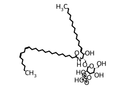 CCCCC/C=C\C/C=C\CCCCCCCCCCCCCC(=O)N[C@@H](CO[C@@H]1O[C@H](CO)[C@H](O)[C@H](OS(=O)(=O)O)[C@H]1O)[C@H](O)/C=C/CCCCCCCCCCCCC